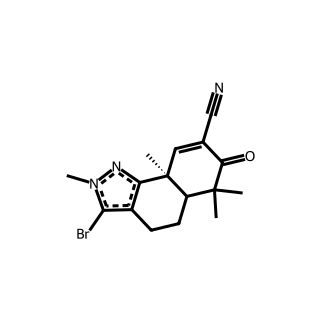 Cn1nc2c(c1Br)CCC1C(C)(C)C(=O)C(C#N)=C[C@]21C